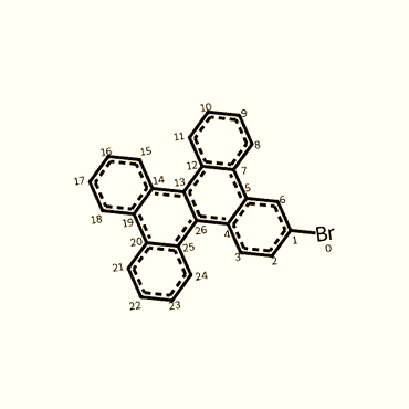 Brc1ccc2c(c1)c1ccccc1c1c3ccccc3c3ccccc3c21